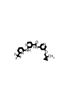 CC1(COc2cncc(NC(=O)c3ccnc(Nc4cccc(C(F)(F)F)n4)c3)c2)CC1